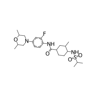 CC1CN(c2ccc(NC(=O)C3CCC(NS(=O)(=O)C(C)C)C(C)C3)c(F)c2)CC(C)O1